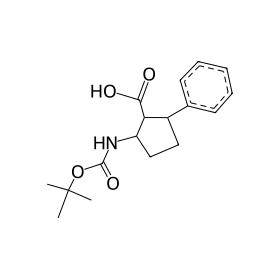 CC(C)(C)OC(=O)NC1CCC(c2ccccc2)C1C(=O)O